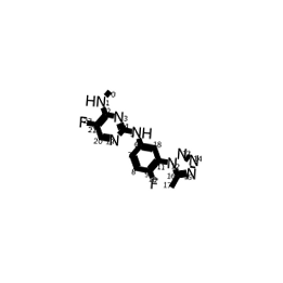 CNc1nc(Nc2ccc(F)c(-n3nnnc3C)c2)ncc1F